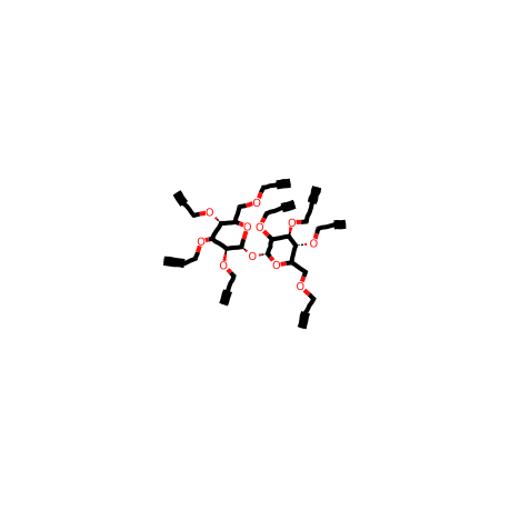 C#CCOCC1O[C@H](O[C@H]2OC(COCC#C)[C@@H](OCC#C)[C@H](OCC#C)C2OCC#C)[C@@H](OCC#C)C(OCC#C)[C@@H]1OCC#C